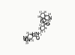 O=C(NCc1ccc(S(=O)(=O)c2cncc3ccccc23)cc1)c1ccc2nccn2c1